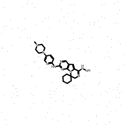 CCCNC1=NCC2(CCCCC2)n2c1cc1cnc(Nc3ccc(N4CCN(C)CC4)cn3)nc12